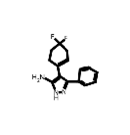 Nc1[nH]nc(-c2ccccc2)c1C1=CCC(F)(F)CC1